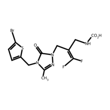 Cc1nn(CC(CNC(=O)O)=C(F)F)c(=O)n1Cc1ccc(Br)s1